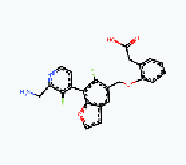 NCc1nccc(-c2c(F)c(COc3ccccc3CC(=O)O)cc3ccoc23)c1F